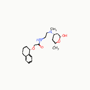 C[C@@H]1C[C@H](N(C)CCNC(=O)CO[C@H]2CCCc3ccccc32)C[C@H](O)O1